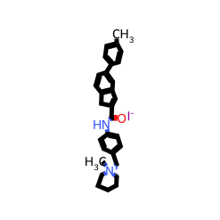 Cc1ccc(-c2ccc3c(c2)C=C(C(=O)Nc2ccc(C[N+]4(C)CCCCC4)cc2)C3)cc1.[I-]